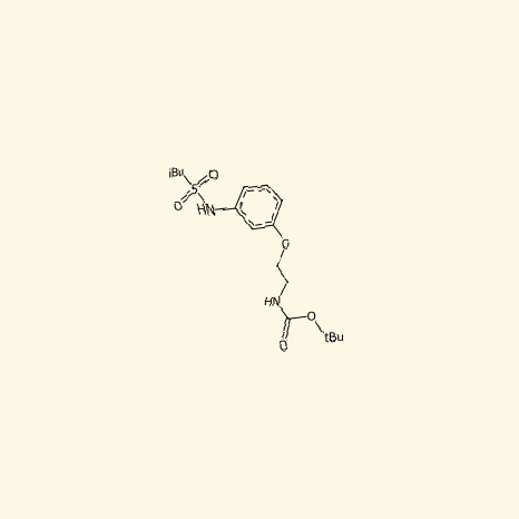 CCC(C)S(=O)(=O)Nc1cccc(OCCNC(=O)OC(C)(C)C)c1